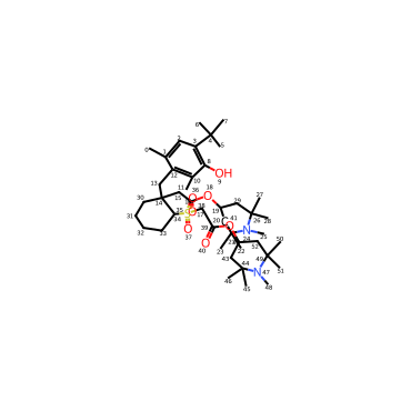 Cc1cc(C(C)(C)C)c(O)c(C)c1CC1(CC(=O)OC2CC(C)(C)N(C)C(C)(C)C2)CCCCC1S(=O)(=O)CC(=O)OC1CC(C)(C)N(C)C(C)(C)C1